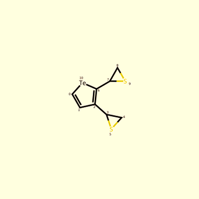 c1cc(C2CS2)c(C2CS2)[te]1